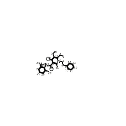 CCc1c(CC)n(CCc2ccccc2)c(C)c(C(=O)Nc2c(C)cccc2C)c1=O